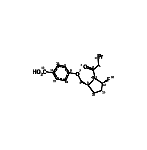 CC(C)CC(=O)N1[C@H](COc2ccc(C(=O)O)cc2)CC[C@@H]1F